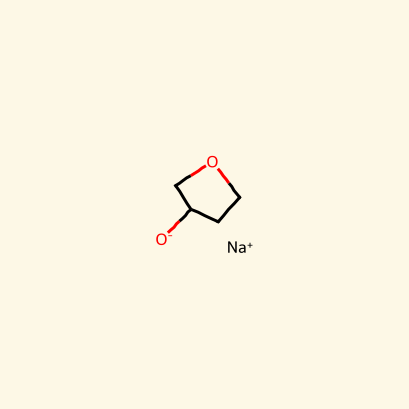 [Na+].[O-]C1CCOC1